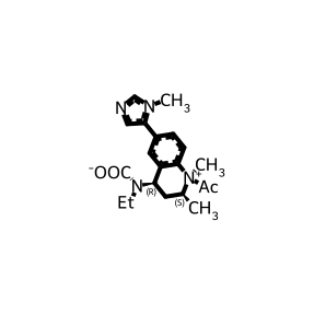 CCN(C(=O)[O-])[C@@H]1C[C@H](C)[N+](C)(C(C)=O)c2ccc(-c3cncn3C)cc21